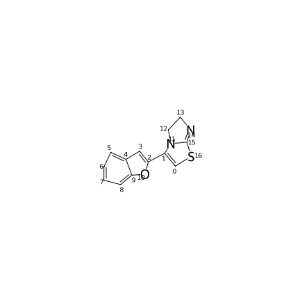 C1=C(c2cc3ccccc3o2)N2CCN=C2S1